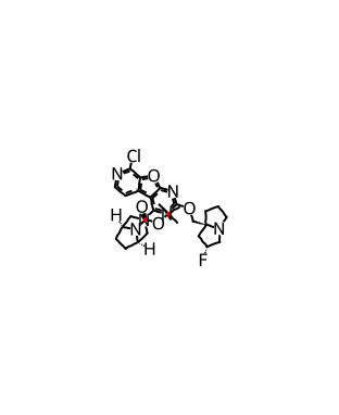 CC(C)(C)OC(=O)N1[C@@H]2CC[C@H]1CN(c1nc(OC[C@@]34CCCN3C[C@H](F)C4)nc3oc4c(Cl)nccc4c13)C2